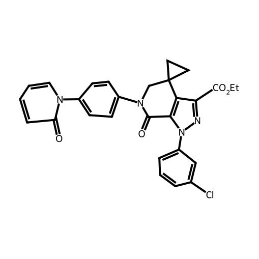 CCOC(=O)c1nn(-c2cccc(Cl)c2)c2c1C1(CC1)CN(c1ccc(-n3ccccc3=O)cc1)C2=O